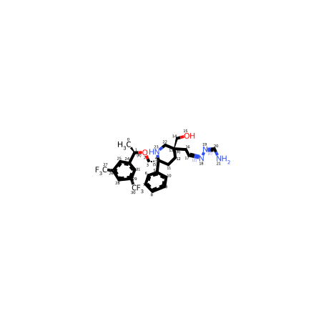 C[C@@H](OC[C@@]1(c2ccccc2)CC[C@@](CO)(C/C=N\N=C/N)CN1)c1cc(C(F)(F)F)cc(C(F)(F)F)c1